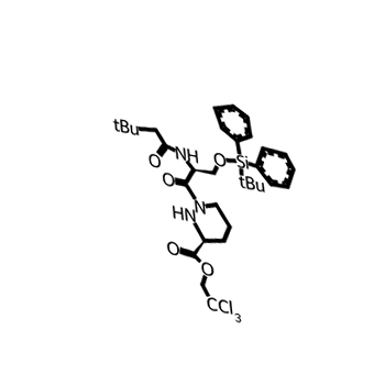 CC(C)(C)CC(=O)N[C@@H](CO[Si](c1ccccc1)(c1ccccc1)C(C)(C)C)C(=O)N1CCC[C@@H](C(=O)OCC(Cl)(Cl)Cl)N1